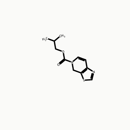 CC(C)COC(=O)N1C=Cc2ncsc2C1